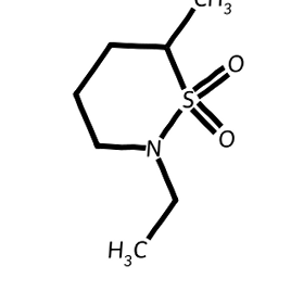 CCN1CCCC(C)S1(=O)=O